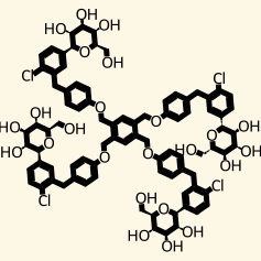 OC[C@@H]1O[C@H](c2ccc(Cl)c(Cc3ccc(OCc4cc(COc5ccc(Cc6cc([C@@H]7O[C@H](CO)[C@@H](O)[C@H](O)[C@H]7O)ccc6Cl)cc5)c(COc5ccc(Cc6cc([C@@H]7O[C@H](CO)[C@@H](O)[C@H](O)[C@H]7O)ccc6Cl)cc5)cc4COc4ccc(Cc5cc([C@@H]6O[C@H](CO)[C@@H](O)[C@H](O)[C@H]6O)ccc5Cl)cc4)cc3)c2)[C@@H](O)[C@H](O)[C@H]1O